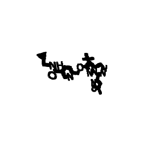 Cc1cc(-c2nncc3c(C(C)(C)C)c(OCc4ccc(C(=O)NCC5CC5)cn4)nn23)no1